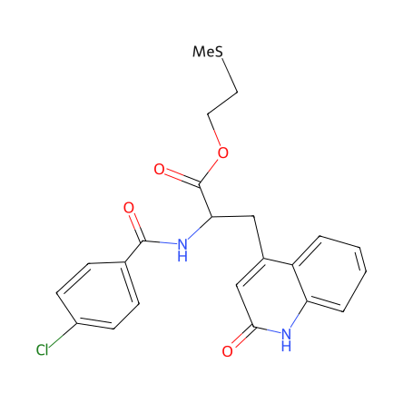 CSCCOC(=O)C(Cc1cc(=O)[nH]c2ccccc12)NC(=O)c1ccc(Cl)cc1